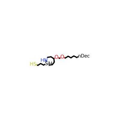 CCCCCCCCCCCCCCCOCOC1CCC[SiH](CCCS)NCC1